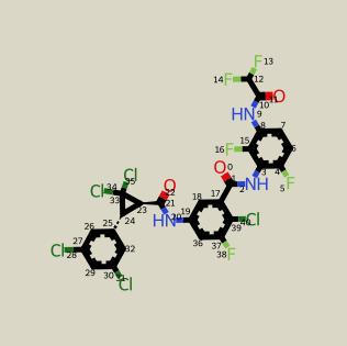 O=C(Nc1c(F)ccc(NC(=O)C(F)F)c1F)c1cc(NC(=O)[C@H]2[C@H](c3cc(Cl)cc(Cl)c3)C2(Cl)Cl)cc(F)c1Cl